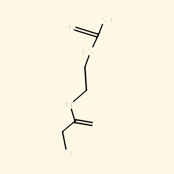 N=C(N)NCCNC(=O)CO